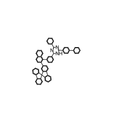 c1ccc(C2=NC(c3cccc(-c4c(-c5ccc6c(c5)C5(c7ccccc7-c7ccccc75)c5ccccc5-6)ccc5ccccc45)c3)NC(c3ccc(-c4ccccc4)cc3)=N2)cc1